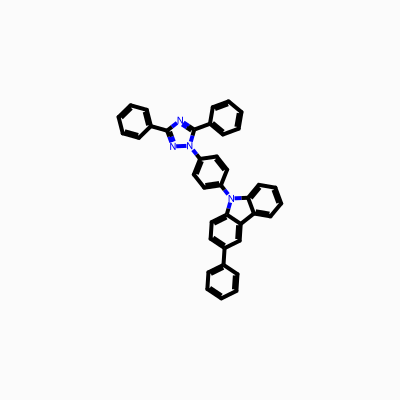 c1ccc(-c2ccc3c(c2)c2ccccc2n3-c2ccc(-n3nc(-c4ccccc4)nc3-c3ccccc3)cc2)cc1